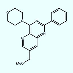 COCc1cnc2c(N3CCOCC3)nc(-c3ccccc3)nc2c1